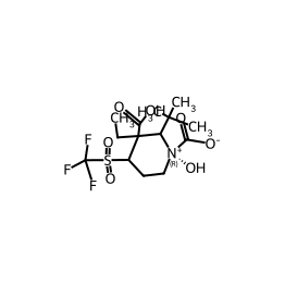 CCC1(C(=O)O)C(C(C)(C)C)[N@@+](O)(C(=O)[O-])CCC1S(=O)(=O)C(F)(F)F